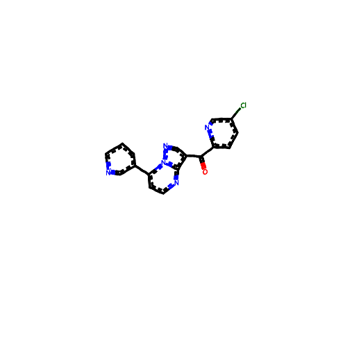 O=C(c1ccc(Cl)cn1)c1cnn2c(-c3cccnc3)ccnc12